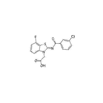 O=C(O)Cn1/c(=N/C(=O)c2cccc(Cl)c2)sc2c(F)cccc21